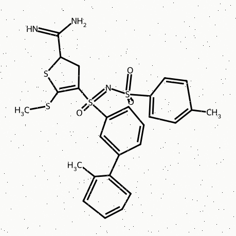 CSC1=C(S(=O)(=NS(=O)(=O)c2ccc(C)cc2)c2cccc(-c3ccccc3C)c2)CC(C(=N)N)S1